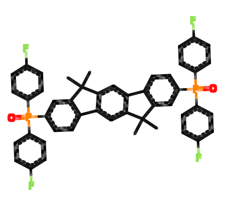 CC1(C)c2cc(P(=O)(c3ccc(F)cc3)c3ccc(F)cc3)ccc2-c2cc3c(cc21)-c1ccc(P(=O)(c2ccc(F)cc2)c2ccc(F)cc2)cc1C3(C)C